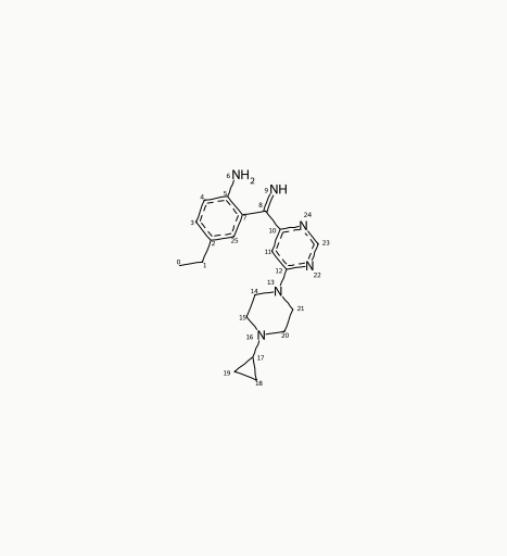 CCc1ccc(N)c(C(=N)c2cc(N3CCN(C4CC4)CC3)ncn2)c1